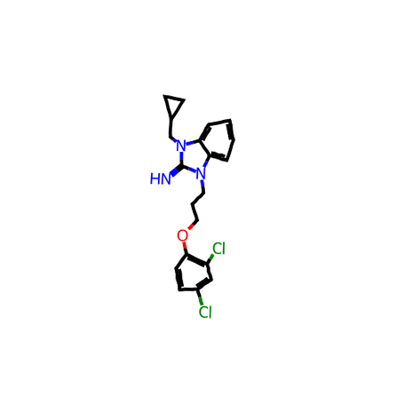 N=c1n(CCCOc2ccc(Cl)cc2Cl)c2ccccc2n1CC1CC1